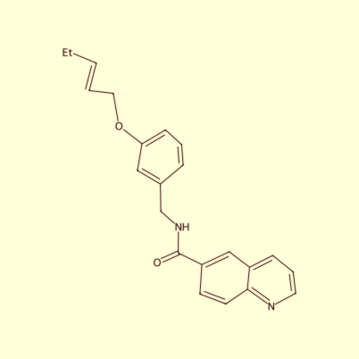 CCC=CCOc1cccc(CNC(=O)c2ccc3ncccc3c2)c1